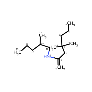 C=C(CC(C)(C)CCC)NCC(C)CCC